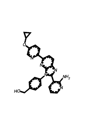 Nc1ncccc1-c1nc2ccc(-c3ccc(OC4CC4)cn3)nc2n1-c1ccc(CO)cc1